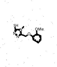 COc1ccccc1OCc1nnc(S)n1C